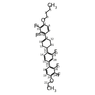 CCCCOc1ccc(C2=CCC(c3ccc(-c4ccc(OCC)c(F)c4F)cc3F)CC2)c(F)c1F